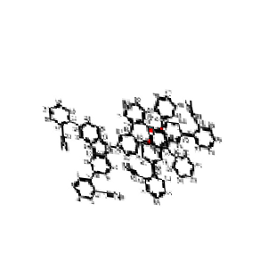 N#Cc1ccccc1-c1ccc2c(c1)c1cc(-c3ccccc3C#N)ccc1n2-c1ccc(-c2nc(-c3ccccc3)nc(-c3ccccc3)n2)c(-c2cnccc2-n2c3ccc(-c4ccccc4C#N)cc3c3cc(-c4ccccc4C#N)ccc32)c1